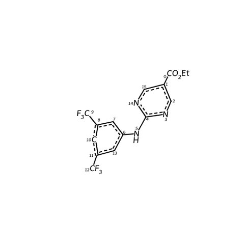 CCOC(=O)c1cnc(Nc2cc(C(F)(F)F)cc(C(F)(F)F)c2)nc1